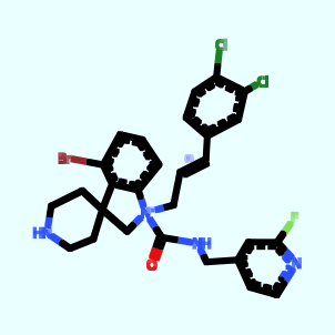 O=C(NCc1ccnc(F)c1)[N+]1(C/C=C/c2ccc(Cl)c(Cl)c2)CC2(CCNCC2)c2c(Br)cccc21